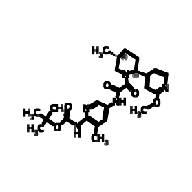 COc1cc([C@@H]2CC[C@@H](C)CN2C(=O)C(=O)Nc2cnc(NC(=O)OC(C)(C)C)c(C)c2)ccn1